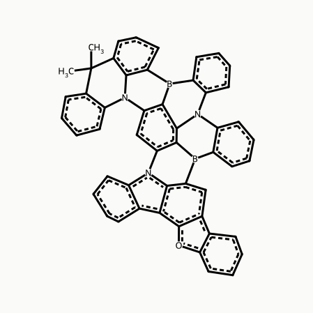 CC1(C)c2ccccc2N2c3cc4c5c6c3B(c3ccccc3N6c3ccccc3B5c3cc5c6ccccc6oc5c5c6ccccc6n-4c35)c3cccc1c32